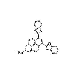 CC(C)(C)c1cc2ccc3c(-c4cc5ccccc5o4)cc(-c4cc5ccccc5o4)c4ccc(c1)c2c34